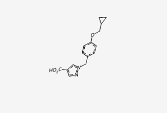 O=C(O)c1cnn(Cc2ccc(OCC3CC3)cc2)c1